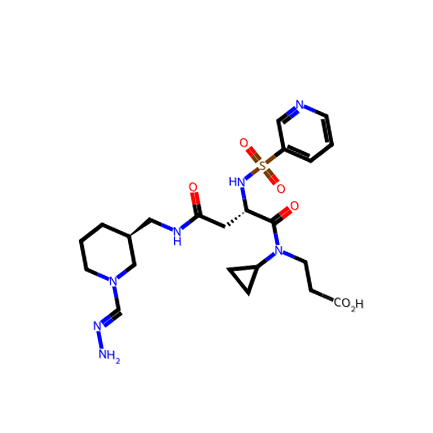 NN=CN1CCC[C@@H](CNC(=O)C[C@H](NS(=O)(=O)c2cccnc2)C(=O)N(CCC(=O)O)C2CC2)C1